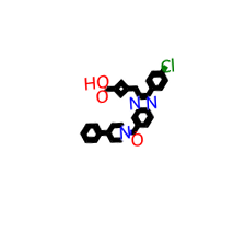 O=C(O)C1CC(Cc2nc3cc(C(=O)N4CCC(c5ccccc5)CC4)ccc3nc2-c2ccc(Cl)cc2)C1